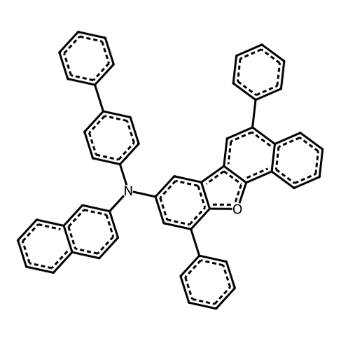 c1ccc(-c2ccc(N(c3ccc4ccccc4c3)c3cc(-c4ccccc4)c4oc5c6ccccc6c(-c6ccccc6)cc5c4c3)cc2)cc1